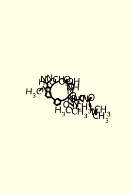 CCn1c(-c2cncnc2)c2c3cc(ccc31)-c1cccc(c1)C[C@H](NC(=O)[C@H](C(C)C)N(C)C(=O)[C@H]1CCN(C(=O)C#CCN(C)C)C1)C(=O)N1CCC[C@@](O)(N1)C(=O)OCC(C)(C)C2